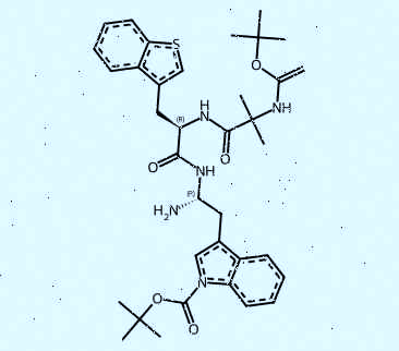 C=C(NC(C)(C)C(=O)N[C@H](Cc1csc2ccccc12)C(=O)N[C@@H](N)Cc1cn(C(=O)OC(C)(C)C)c2ccccc12)OC(C)(C)C